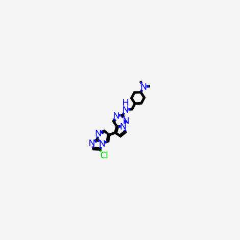 CN(C)C1CCC(CNc2ncc3c(-c4cnc5ncc(Cl)n5c4)ccn3n2)CC1